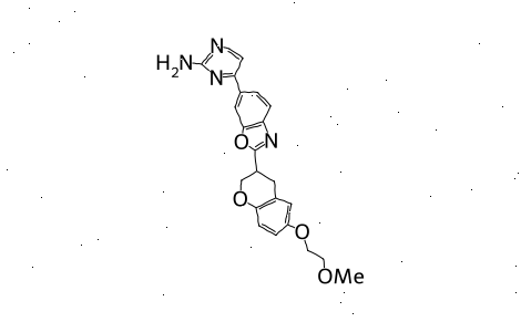 COCCOc1ccc2c(c1)CC(c1nc3ccc(-c4ccnc(N)n4)cc3o1)CO2